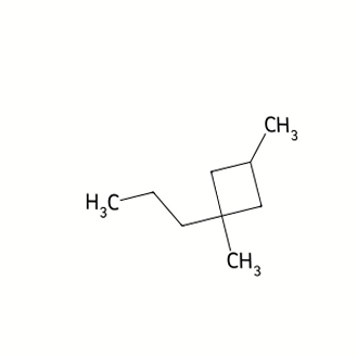 CCCC1(C)CC(C)C1